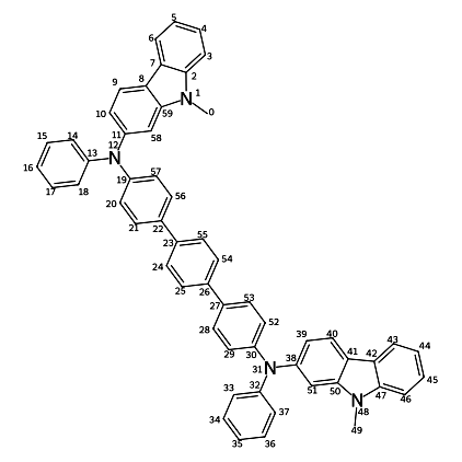 Cn1c2ccccc2c2ccc(N(c3ccccc3)c3ccc(-c4ccc(-c5ccc(N(c6ccccc6)c6ccc7c8ccccc8n(C)c7c6)cc5)cc4)cc3)cc21